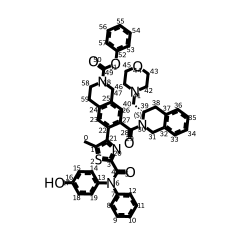 Cc1sc(C(=O)N(c2ccccc2)c2ccc(O)cc2)nc1-c1cc2c(cc1C(=O)N1Cc3ccccc3C[C@H]1CN1CCOCC1)CN(C(=O)Oc1ccccc1)CC2